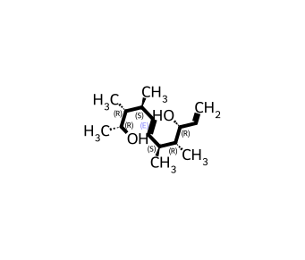 C=C[C@@H](O)[C@H](C)[C@@H](C)/C=C/[C@H](C)[C@@H](C)[C@@H](C)O